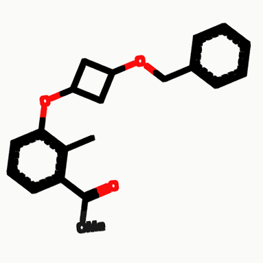 COC(=O)c1cccc(OC2CC(OCc3ccccc3)C2)c1C